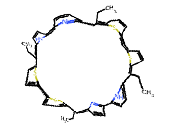 CCc1c2nc(c3ccc([nH]3)c(CC)c3ccc(s3)c3ccc(s3)c(CC)c3nc(c4ccc([nH]4)c(CC)c4ccc(s4)c4ccc1s4)C=C3)C=C2